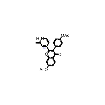 C=C/C=C(\C=C/N)c1oc2cc(OC(C)=O)ccc2c(=O)c1-c1ccc(OC(C)=O)cc1